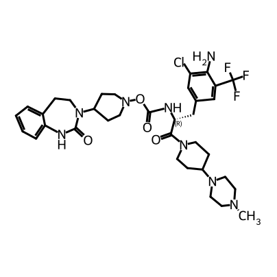 CN1CCN(C2CCN(C(=O)[C@@H](Cc3cc(Cl)c(N)c(C(F)(F)F)c3)NC(=O)ON3CCC(N4CCc5ccccc5NC4=O)CC3)CC2)CC1